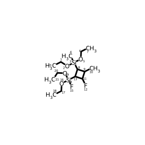 CCO[Si](C)(OCC)C1C(C)C(F)C1[Si](F)(OCC)OCC